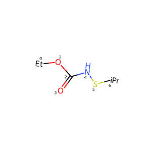 CCOC(=O)NSC(C)C